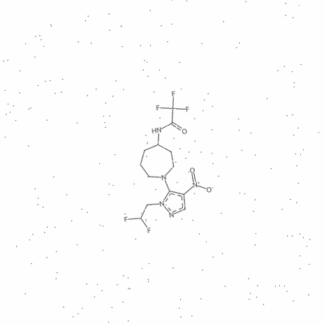 O=C(NC1CCCN(c2c([N+](=O)[O-])cnn2CC(F)F)CC1)C(F)(F)F